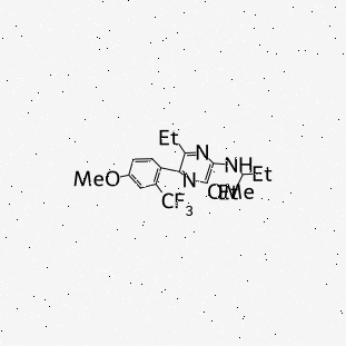 CCc1nc(NC(CC)CC)c(OC)nc1-c1ccc(OC)cc1C(F)(F)F